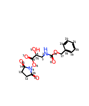 O=C(NC[C@H](O)C(=O)ON1C(=O)CCC1=O)OCc1ccccc1